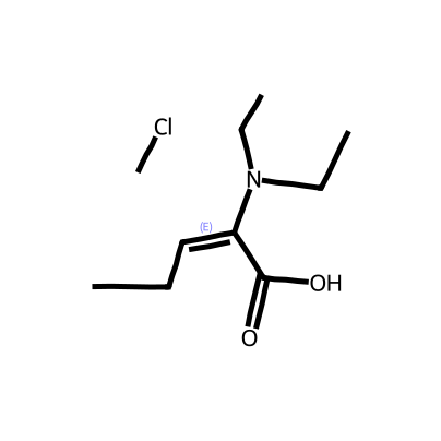 CC/C=C(\C(=O)O)N(CC)CC.CCl